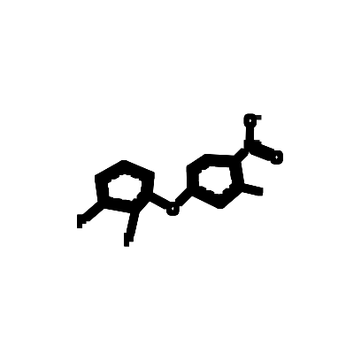 Cc1cc(Oc2cccc(F)c2F)ccc1[N+](=O)[O-]